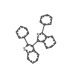 c1ccc(-c2sc3ccccc3c2-c2sc(-c3ccccc3)c3ccccc23)cc1